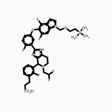 CCOC(=O)CCc1cccc(C2c3nc(-c4cc(Oc5c(F)cc6c(ccn6COCC[Si](C)(C)C)c5F)ccc4F)[nH]c3CCN2CC(F)F)c1F